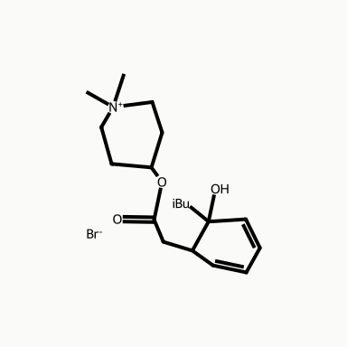 CCC(C)C1(O)C=CC=CC1CC(=O)OC1CC[N+](C)(C)CC1.[Br-]